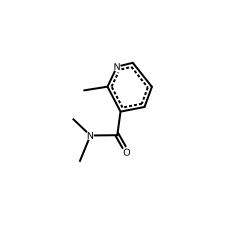 Cc1ncccc1C(=O)N(C)C